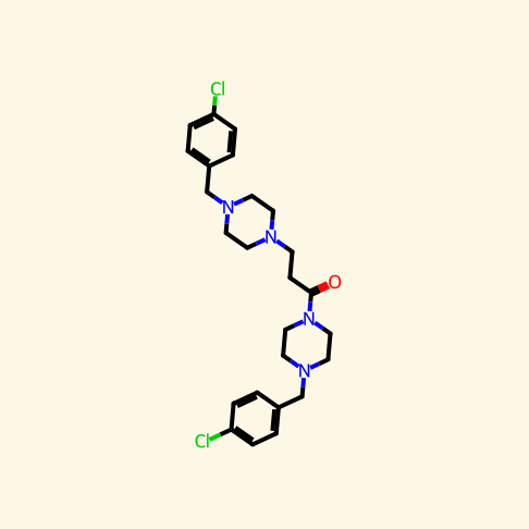 O=C(CCN1CCN(Cc2ccc(Cl)cc2)CC1)N1CCN(Cc2ccc(Cl)cc2)CC1